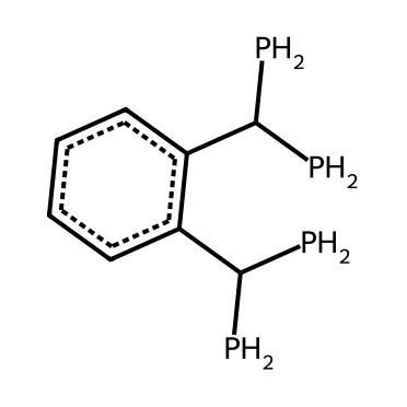 PC(P)c1ccccc1C(P)P